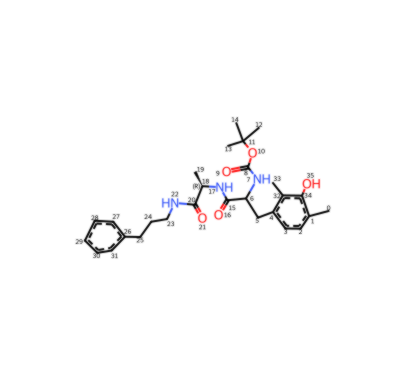 Cc1ccc(CC(NC(=O)OC(C)(C)C)C(=O)N[C@H](C)C(=O)NCCCc2ccccc2)c(C)c1O